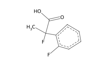 CC(F)(C(=O)O)c1ccccc1F